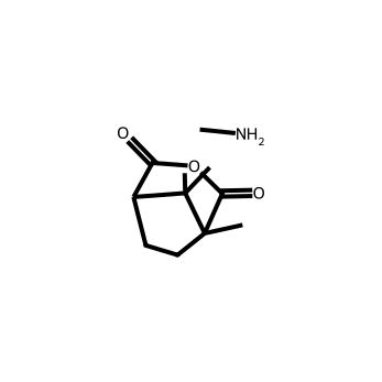 CC12CCC(C(=O)OC1=O)C2(C)C.CN